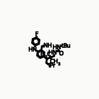 CC(C)CC(c1ccc(Nc2ccc(F)cc2)c(C=N)c1)C(C)(C)CNC(=O)NC(C)(C)C